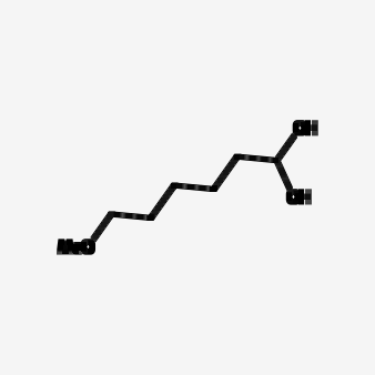 COCCCCCC(O)O